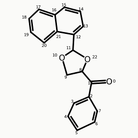 O=C(c1ccccc1)C1COC(c2cccc3ccccc23)O1